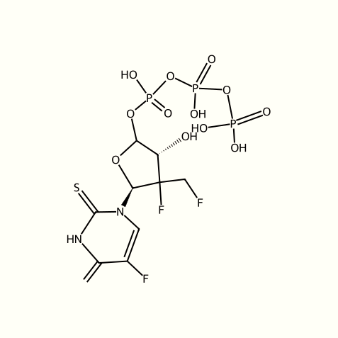 C=C1NC(=S)N([C@H]2OC(OP(=O)(O)OP(=O)(O)OP(=O)(O)O)[C@H](O)C2(F)CF)C=C1F